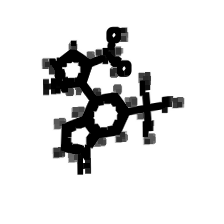 O=[N+]([O-])c1cn[nH]c1-c1cc(C(F)(F)F)cc2[nH]ccc12